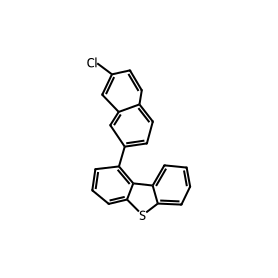 Clc1ccc2ccc(-c3cccc4sc5ccccc5c34)cc2c1